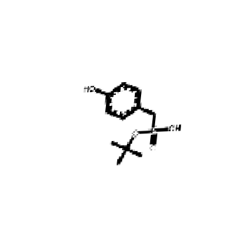 CC(C)(C)OP(=O)(O)Cc1ccc(O)cc1